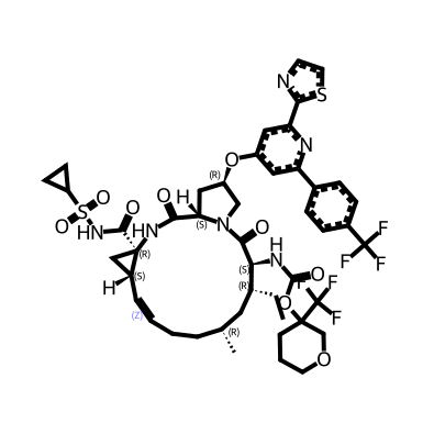 CC[C@@H]1C[C@H](C)CC/C=C\[C@@H]2C[C@@]2(C(=O)NS(=O)(=O)C2CC2)NC(=O)[C@@H]2C[C@@H](Oc3cc(-c4ccc(C(F)(F)F)cc4)nc(-c4nccs4)c3)CN2C(=O)[C@H]1NC(=O)OC1(C(F)(F)F)CCCOC1